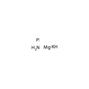 N.[KH].[Mg].[P]